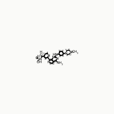 C=C(N[SH](=O)=O)c1ccnc(-c2nccc3c(N)nc(Nc4ccc(N5CCN(C)CC5)cc4)nc23)c1